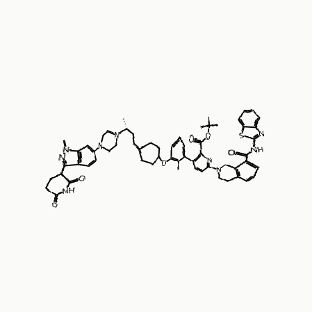 Cc1c(OC2CCC(CC[C@@H](C)N3CCN(c4ccc5c(C6CCC(=O)NC6=O)nn(C)c5c4)CC3)CC2)cccc1-c1ccc(N2CCc3cccc(C(=O)Nc4nc5ccccc5s4)c3C2)nc1C(=O)OC(C)(C)C